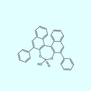 O=P1(O)Oc2c(-c3ccccc3)cc3ccccc3c2-c2c(c(-c3ccccc3)cc3ccccc23)O1